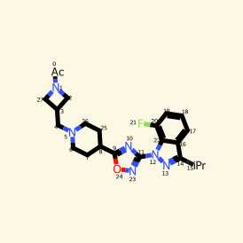 CC(=O)N1CC(CN2CCC(c3nc(-n4nc(C(C)C)c5cccc(F)c54)no3)CC2)C1